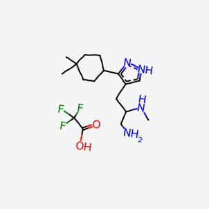 CNC(CN)Cc1c[nH]nc1C1CCC(C)(C)CC1.O=C(O)C(F)(F)F